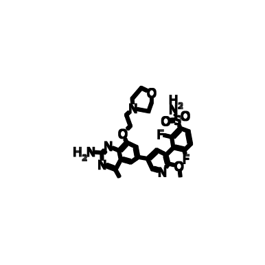 COc1ncc(-c2cc(OCCN3CCOCC3)c3nc(N)nc(C)c3c2)cc1-c1c(F)ccc(S(N)(=O)=O)c1F